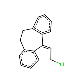 ClCC=C1c2ccccc2CCc2ccccc21